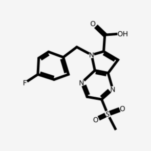 CS(=O)(=O)c1cnc2c(cc(C(=O)O)n2Cc2ccc(F)cc2)n1